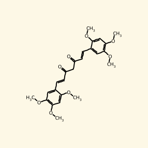 COc1cc(OC)c(OC)cc1C=CC(=O)CC(=O)C=Cc1cc(OC)c(OC)cc1OC